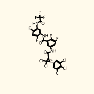 O=C(Nc1cc(NC(=O)C(F)(F)F)c(F)cc1F)c1cc(NC(=O)C2[C@H](c3cc(Cl)c(Cl)c(Cl)c3)C2(Cl)Cl)cc(F)c1F